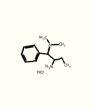 CCC(N)C(c1ccccc1)N(C)C.Cl